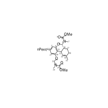 CCCCCc1cc(OCN(C)C(=O)OC)c(C2C=C(C)CCC2)c(OCN(C)C(=O)OC)c1